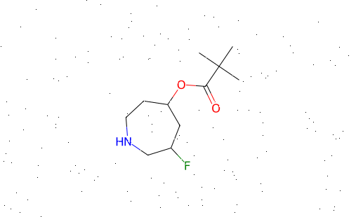 CC(C)(C)C(=O)OC1CCNCC(F)C1